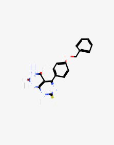 O=c1[nH]c(=O)c2c(-c3ccc(OCc4ccccc4)cc3)nc(=S)[nH]c2[nH]1